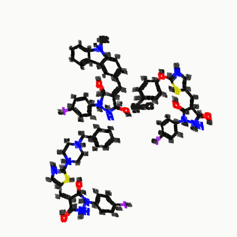 CCn1c2ccccc2c2cc(C=C3C(=O)NN(c4ccc(I)cc4)C3=O)ccc21.COc1ccc(Oc2ncc(C=C3C(=O)NN(c4ccc(I)cc4)C3=O)s2)cc1.O=C1NN(c2ccc(I)cc2)C(=O)C1=Cc1cnc(N2CCN(Cc3ccccc3)CC2)s1